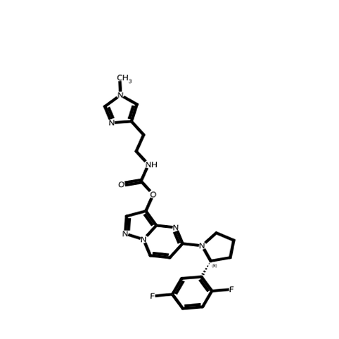 Cn1cnc(CCNC(=O)Oc2cnn3ccc(N4CCC[C@@H]4c4cc(F)ccc4F)nc23)c1